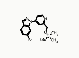 CC(C)(C)[Si](C)(C)OCc1cc(-n2ncc3ccc(Br)cc32)ccn1